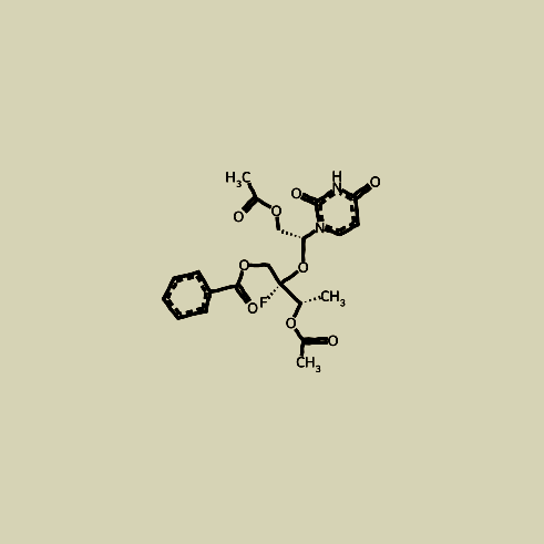 CC(=O)OC[C@@H](O[C@](F)(COC(=O)c1ccccc1)[C@H](C)OC(C)=O)n1ccc(=O)[nH]c1=O